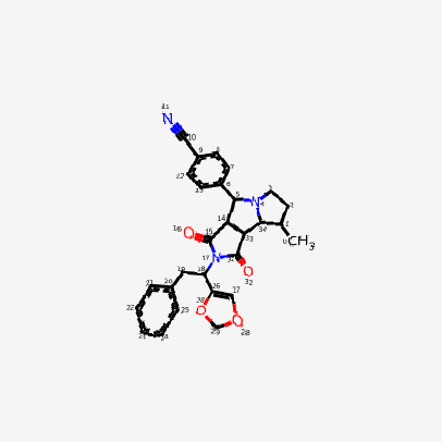 CC1CCN2C(c3ccc(C#N)cc3)C3C(=O)N(C(Cc4ccccc4)C4=COCO4)C(=O)C3C12